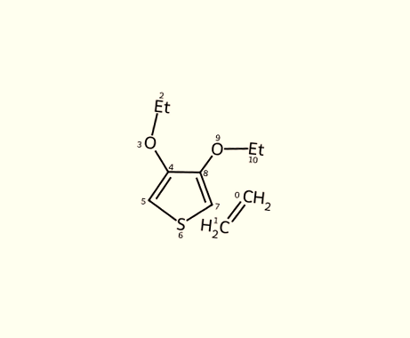 C=C.CCOc1cscc1OCC